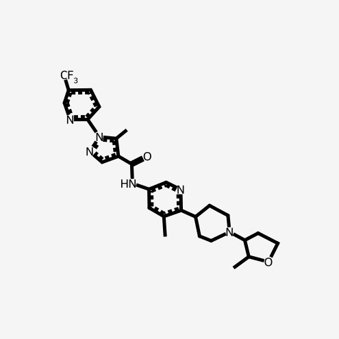 Cc1cc(NC(=O)c2cnn(-c3ccc(C(F)(F)F)cn3)c2C)cnc1C1CCN(C2CCOC2C)CC1